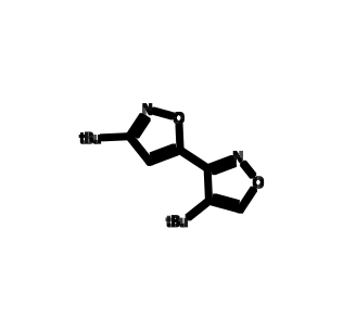 CC(C)(C)c1cc(-c2nocc2C(C)(C)C)on1